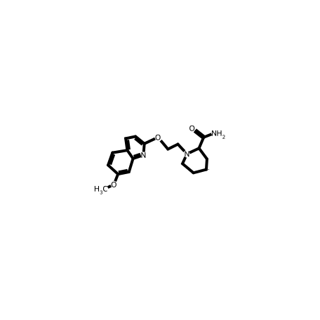 COc1ccc2ccc(OCCN3CC[CH]CC3C(N)=O)nc2c1